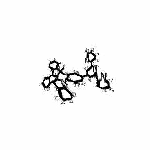 CC1(C)c2ccccc2-c2c1c1c(c3ccccc23)c2ccccc2n1[C@H]1C=CC(c2cc(-c3ccccn3)nc(-c3ccccn3)c2)=CC1